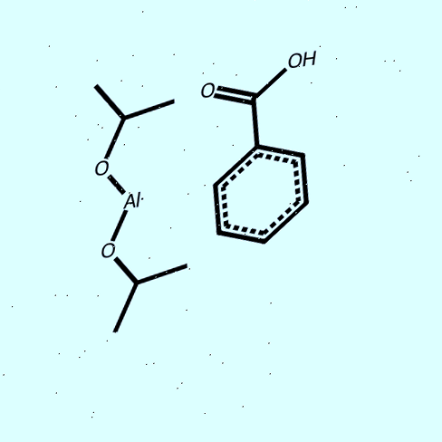 CC(C)[O][Al][O]C(C)C.O=C(O)c1ccccc1